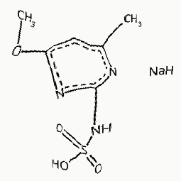 COc1cc(C)nc(NS(=O)(=O)O)n1.[NaH]